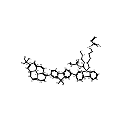 C=CC(=O)OCCCCCC1(C(CCCC)OC(=O)C=C)c2ccccc2-c2ccc(-c3ccc4c(c3)C(C)(C)c3cc(C5=C6C=CC7=CC(C(C)(C)C)=CC8=CC=C(C=C5)C6C87)ccc3-4)cc21